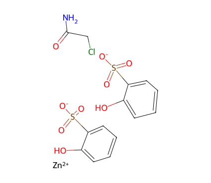 NC(=O)CCl.O=S(=O)([O-])c1ccccc1O.O=S(=O)([O-])c1ccccc1O.[Zn+2]